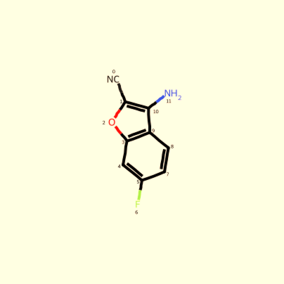 N#Cc1oc2cc(F)ccc2c1N